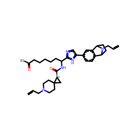 C=CCN1CCC2(CC1)C[C@@H]2C(=O)NC(CCCCCC(=O)CC)c1ncc(-c2ccc3c(c2)C2CCC3N2CC=C)[nH]1